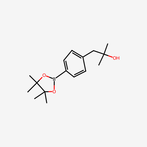 CC(C)(O)Cc1ccc(B2OC(C)(C)C(C)(C)O2)cc1